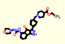 CCOC(=O)C1CCN(Cc2ccc(-c3n[nH]c4c3C(=O)c3c(NC(=O)NN5CCOCC5)cccc3-4)cc2)CC1